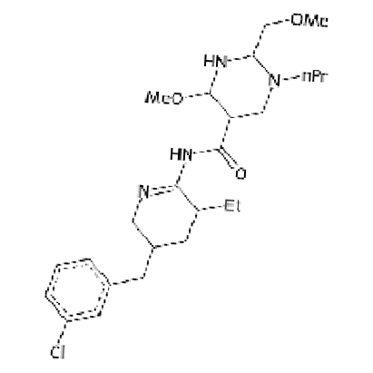 CCCN1CC(C(=O)NC2=NCC(Cc3cccc(Cl)c3)CC2CC)C(OC)NC1COC